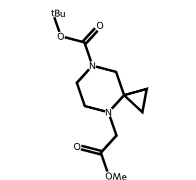 COC(=O)CN1CCN(C(=O)OC(C)(C)C)CC12CC2